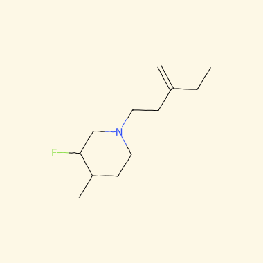 C=C(CC)CCN1CCC(C)C(F)C1